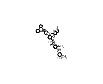 CC(C)c1ccccc1[C@H]1CCC[C@H]1N1CC2(CCN(c3ccc(C(=O)NS(=O)(=O)c4ccc(NC[C@H]5CC[C@](C)(O)CC5)c([N+](=O)[O-])c4)c(Oc4cc5cc[nH]c5nc4Cl)c3)CC2)C1